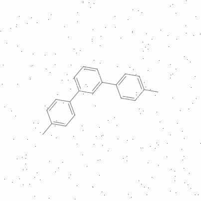 Cc1ccc(-c2c[c]cc(-c3ccc(C)cc3)c2)cc1